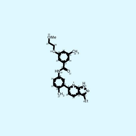 CCc1n[nH]c2nc(-c3cc(NC(=O)c4cc(C)cc(OCCOC)c4)ccc3C)ccc12